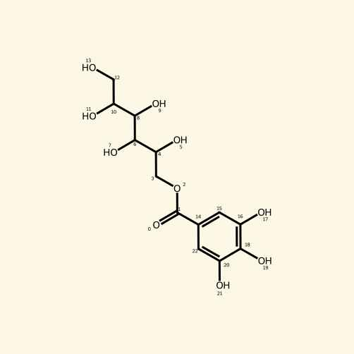 O=C(OCC(O)C(O)C(O)C(O)CO)c1cc(O)c(O)c(O)c1